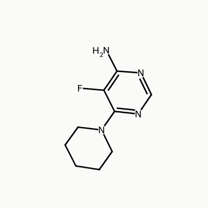 Nc1ncnc(N2CCCCC2)c1F